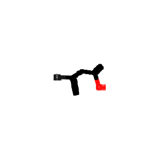 C=C(O)CC(=C)CC